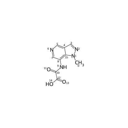 Cn1ncc2cncc(NC(=O)C(=O)O)c21